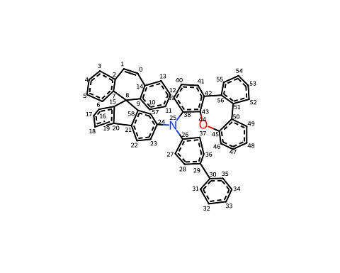 C1=Cc2ccccc2C2(c3ccccc31)c1ccccc1-c1ccc(N(c3ccc(-c4ccccc4)cc3)c3cccc4c3Oc3ccccc3-c3ccccc3-4)cc12